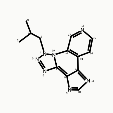 CC(C)Cn1nnc2c3ncnc-3c3ccncc3n21